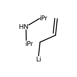 CC(C)NC(C)C.[Li][CH2]C=C